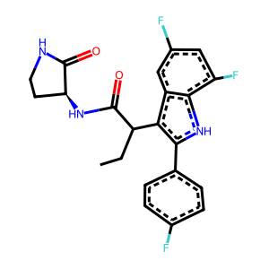 CCC(C(=O)N[C@H]1CCNC1=O)c1c(-c2ccc(F)cc2)[nH]c2c(F)cc(F)cc12